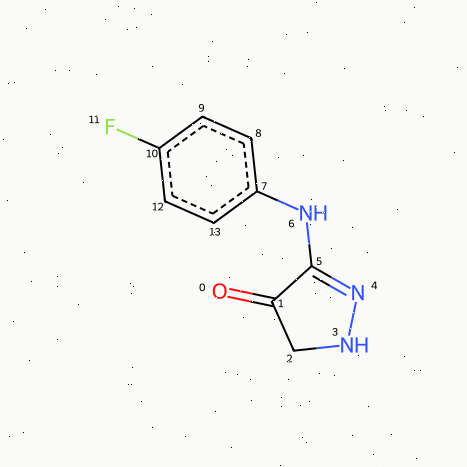 O=C1CNN=C1Nc1ccc(F)cc1